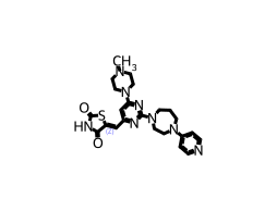 CN1CCN(c2cc(/C=C3\SC(=O)NC3=O)nc(N3CCCN(c4ccncc4)CC3)n2)CC1